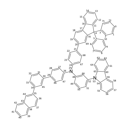 c1ccc(C2(c3ccccc3)c3ccccc3-c3ccc(-c4ccc(N(c5ccc(-c6cccc(-c7ccc8ccccc8c7)c6)cc5)c5cccc(-n6c7ccccc7c7ccccc76)c5)cc4)cc32)cc1